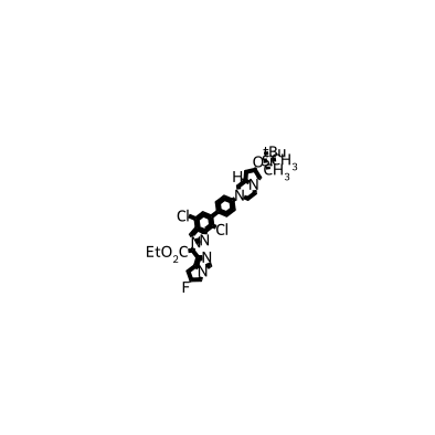 CCOC(=O)C(c1ncn2c1C[C@@H](F)C2)n1cc2c(Cl)cc(-c3ccc(N4CCN5C[C@H](O[Si](C)(C)C(C)(C)C)C[C@H]5C4)cc3)c(Cl)c2n1